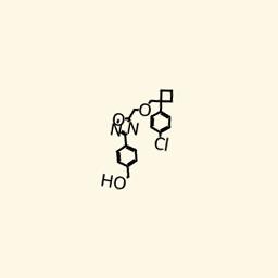 OCc1ccc(-c2noc(COCC3(c4ccc(Cl)cc4)CCC3)n2)cc1